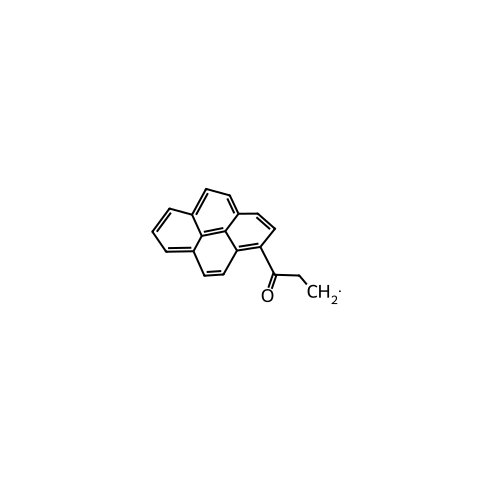 [CH2]CC(=O)c1ccc2ccc3cccc4ccc1c2c34